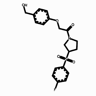 O=C(COc1ccc(CO)cc1)N1CCC(S(=O)(=O)c2ccc(F)cc2)C1